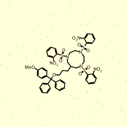 COc1ccc(C(OCCCC2CN(S(=O)(=O)c3ccccc3[N+](=O)[O-])CCN(S(=O)(=O)c3ccccc3[N+](=O)[O-])CCN(S(=O)(=O)c3ccccc3[N+](=O)[O-])C2)(c2ccccc2)c2ccccc2)cc1